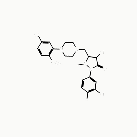 COc1ccc(Cl)cc1N1CCN(CC2C(Cl)C(=O)N(c3ccc(F)c(Cl)c3)N2C)CC1